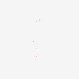 CCCCCCCCCCCCc1ccc(-c2ccc3c(c2)oc2c3ccc3c2ccc2c4ccccc4oc23)cc1